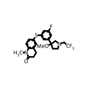 COC1(c2cc(F)cc(Sc3ccc4c(c3)CCC(=O)N4C)c2)CCN(CC(F)(F)F)C1